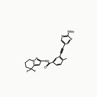 CNc1ncc(C#Cc2cc(C(=O)Nc3cc4n(n3)CCCC4(F)F)ccc2C)cn1